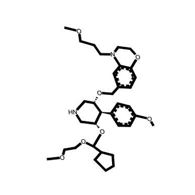 COCCCN1CCOc2ccc(CO[C@H]3CNC[C@@H](OC(OCCOC)C4CCCC4)[C@@H]3c3ccc(OC)cc3)cc21